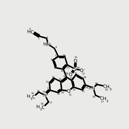 C#CCNCc1ccc(-c2c3ccc(=[N+](CC)CC)cc-3oc3cc(N(CC)CC)ccc23)c(S(=O)(=O)[O-])c1